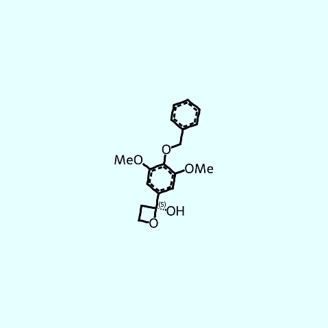 COc1cc([C@]2(O)CCO2)cc(OC)c1OCc1ccccc1